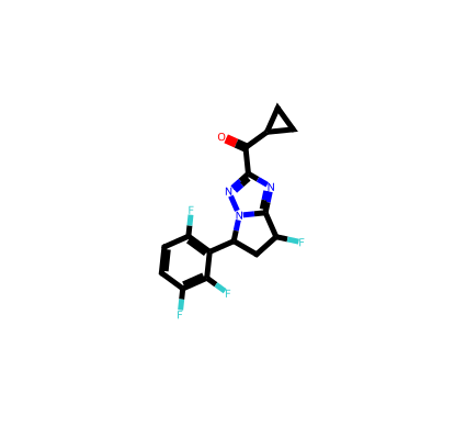 O=C(c1nc2n(n1)C(c1c(F)ccc(F)c1F)CC2F)C1CC1